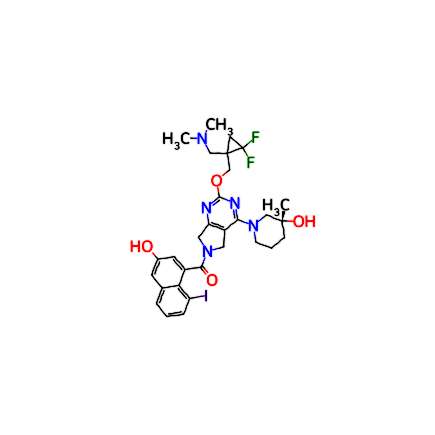 CN(C)CC1(COc2nc3c(c(N4CCC[C@@](C)(O)C4)n2)CN(C(=O)c2cc(O)cc4cccc(I)c24)C3)CC1(F)F